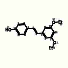 CCOc1cc(C=Cc2ccc(O)cc2)cc(OCC)c1